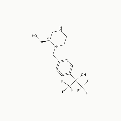 OC[C@H]1CNCCN1Cc1ccc(C(O)(C(F)(F)F)C(F)(F)F)cc1